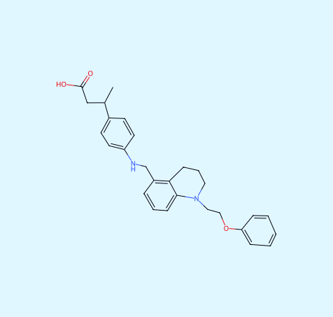 CC(CC(=O)O)c1ccc(NCc2cccc3c2CCCN3CCOc2ccccc2)cc1